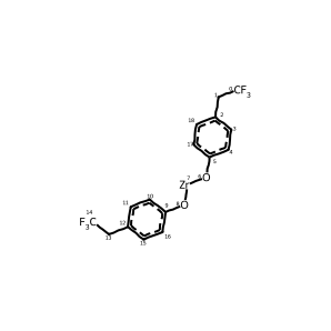 FC(F)(F)Cc1ccc([O][Zr][O]c2ccc(CC(F)(F)F)cc2)cc1